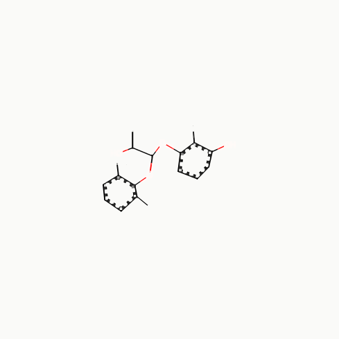 CC(=O)c1c(O)cccc1OC(Oc1c(C)cccc1C)C(C)O